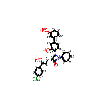 O=C1[C@H](CC[C@H](O)c2ccc(Cl)cc2)[C@@H](c2ccc(-c3cccc(O)c3)cc2O)N1c1ccccc1